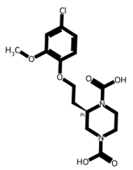 COc1cc(Cl)ccc1OCC[C@@H]1CN(C(=O)O)CCN1C(=O)O